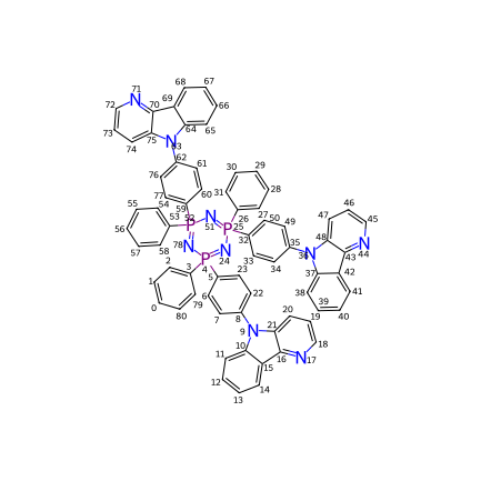 c1ccc(P2(c3ccc(-n4c5ccccc5c5ncccc54)cc3)=NP(c3ccccc3)(c3ccc(-n4c5ccccc5c5ncccc54)cc3)=NP(c3ccccc3)(c3ccc(-n4c5ccccc5c5ncccc54)cc3)=N2)cc1